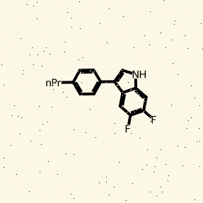 CCCc1ccc(-c2c[nH]c3cc(F)c(F)cc23)cc1